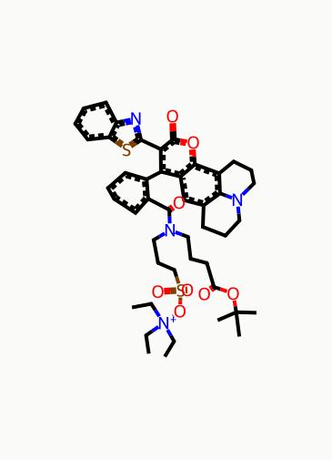 CC[N+](CC)(CC)OS(=O)(=O)CCCN(CCCC(=O)OC(C)(C)C)C(=O)c1ccccc1-c1c(-c2nc3ccccc3s2)c(=O)oc2c3c4c(cc12)CCCN4CCC3